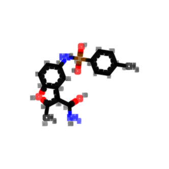 Cc1ccc(S(=O)(=O)Nc2ccc3oc(C)c(C(N)=O)c3c2)cc1